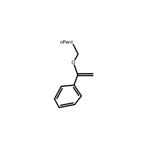 C=C(OCCCCCC)c1ccccc1